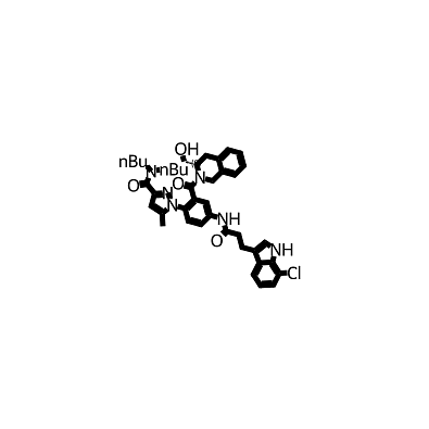 CCCCN(CCCC)C(=O)c1cc(C)n(-c2ccc(NC(=O)CCc3c[nH]c4c(Cl)cccc34)cc2C(=O)N2Cc3ccccc3C[C@H]2CO)n1